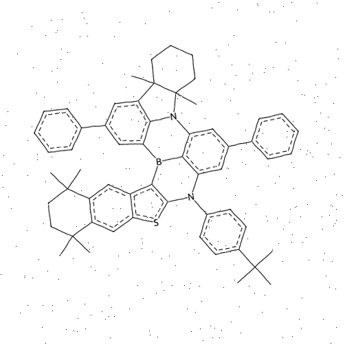 CC(C)(C)c1ccc(N2c3cc(-c4ccccc4)cc4c3B(c3cc(-c5ccccc5)cc5c3N4C3(C)CCCCC53C)c3c2sc2cc4c(cc32)C(C)(C)CCC4(C)C)cc1